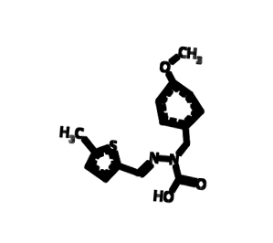 COc1ccc(CN(N=Cc2ccc(C)s2)C(=O)O)cc1